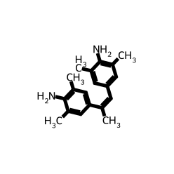 CC(=Cc1cc(C)c(N)c(C)c1)c1cc(C)c(N)c(C)c1